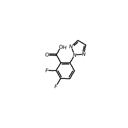 O=C(O)c1c(-n2nccn2)ccc(F)c1F